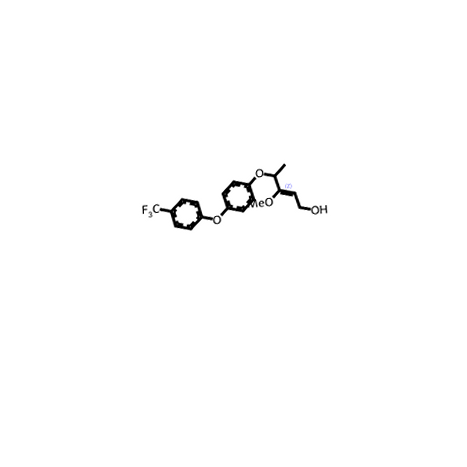 CO/C(=C\CO)C(C)Oc1ccc(Oc2ccc(C(F)(F)F)cc2)cc1